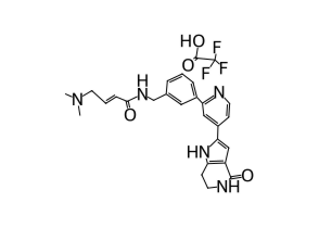 CN(C)C/C=C/C(=O)NCc1cccc(-c2cc(-c3cc4c([nH]3)CCNC4=O)ccn2)c1.O=C(O)C(F)(F)F